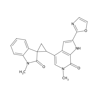 CN1C(=O)C2(CC2c2cn(C)c(=O)c3[nH]c(-c4ncco4)cc23)c2ccccc21